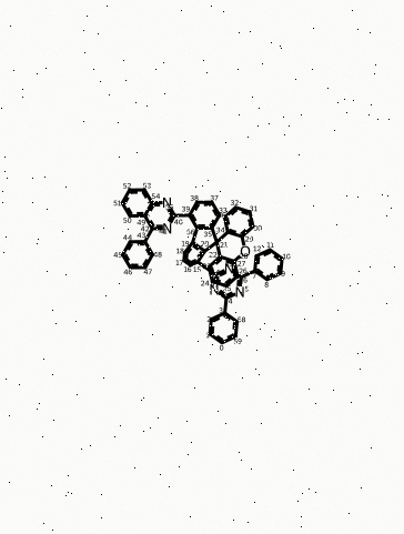 c1ccc(-c2nc(-c3ccccc3)nc(-c3cccc4c3C3(c5ccccc5Oc5ccccc53)c3cccc(-c5nc(-c6ccccc6)c6ccccc6n5)c3-4)n2)cc1